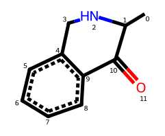 CC1NCc2ccccc2C1=O